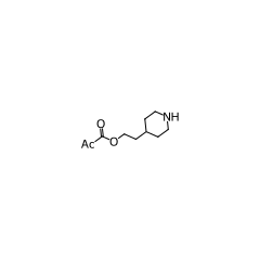 CC(=O)C(=O)OCCC1CCNCC1